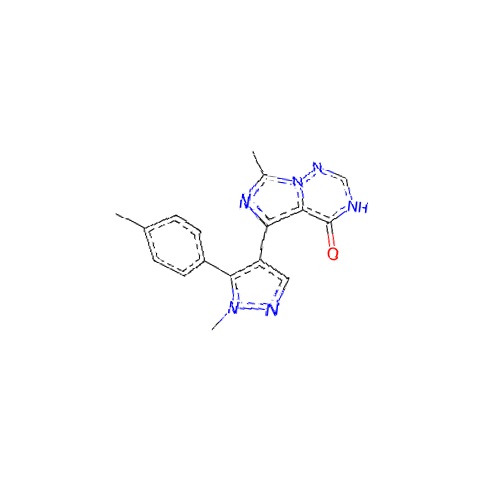 Cc1ccc(-c2c(-c3nc(C)n4nc[nH]c(=O)c34)cnn2C)cc1